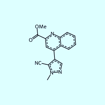 COC(=O)c1cc(-c2cnn(C)c2C#N)c2ccccc2n1